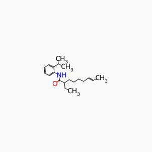 C/C=C/CCCCC(CC)C(=O)Nc1ccccc1C(C)C